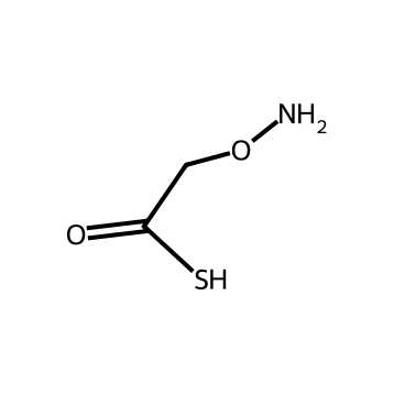 NOCC(=O)S